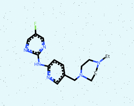 CCN1CCN(Cc2ccc(Nc3ncc(F)cn3)nc2)CC1